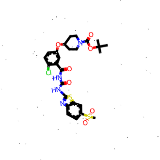 CC(C)(C)OC(=O)N1CCC(Oc2ccc(Cl)c(C(=O)NC(=O)Nc3nc4ccc(S(C)(=O)=O)cc4s3)c2)CC1